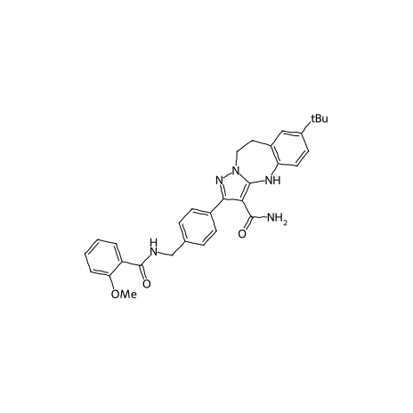 COc1ccccc1C(=O)NCc1ccc(-c2nn3c(c2C(N)=O)Nc2ccc(C(C)(C)C)cc2CC3)cc1